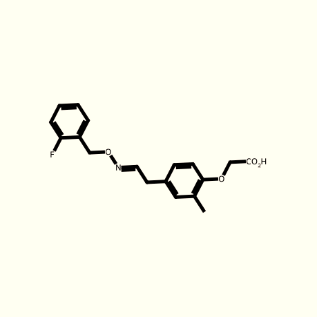 Cc1cc(CC=NOCc2ccccc2F)ccc1OCC(=O)O